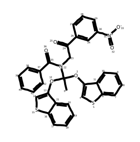 CC(Oc1csc2ccccc12)(Oc1csc2ccccc12)N(CC(=O)c1cccc([N+](=O)[O-])c1)C(=O)c1ccccc1